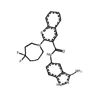 Nc1n[nH]c2ccc(NC(=O)c3cc4ccccc4nc3N3CCCC(F)(F)CC3)cc12